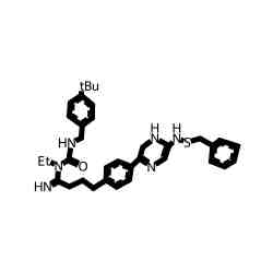 CCN(C(=N)CCCc1ccc(C2=NC=C(NSCc3ccccc3)NC2)cc1)C(=O)NCc1ccc(C(C)(C)C)cc1